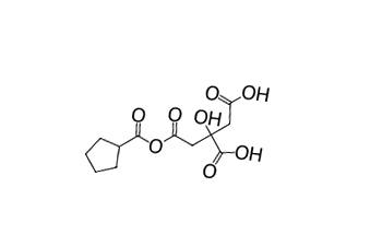 O=C(O)CC(O)(CC(=O)OC(=O)C1CCCC1)C(=O)O